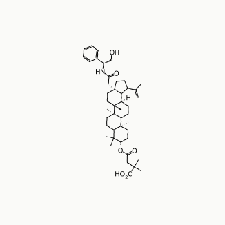 C=C(C)[C@@H]1CC[C@]2(CC(=O)N[C@H](CO)c3ccccc3)CC[C@]3(C)[C@H](CCC4[C@@]5(C)CC[C@H](OC(=O)CC(C)(C)C(=O)O)C(C)(C)C5CC[C@]43C)C12